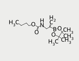 C=C(CNC(=O)OCCCC)B1OC(C)(C)C(C)(C)O1